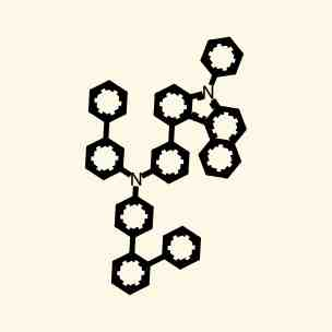 c1ccc(-c2cccc(N(c3ccc(-c4ccccc4-c4ccccc4)cc3)c3cccc(-c4cccc5c4c4c6ccccc6ccc4n5-c4ccccc4)c3)c2)cc1